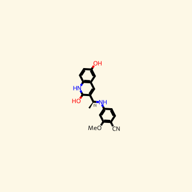 COc1cc(N[C@@H](C)C2=Cc3cc(O)ccc3NC2O)ccc1C#N